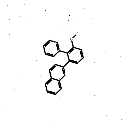 FOc1cccc(-c2ccc3ccccc3n2)c1-c1ccccc1